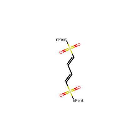 CCCCCS(=O)(=O)/C=C/C=C/S(=O)(=O)CCCCC